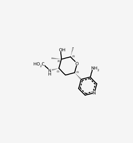 C[C@@H]1O[C@H](c2ccncc2N)C[C@H](NC(=O)O)[C@@]1(C)O